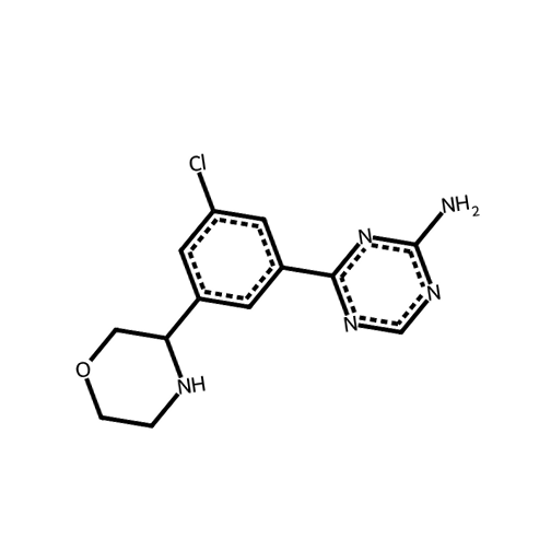 Nc1ncnc(-c2cc(Cl)cc(C3COCCN3)c2)n1